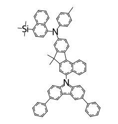 Cc1ccc(N(c2ccc3c(c2)C(C)(C)c2cc(-n4c5ccc(-c6ccccc6)cc5c5cc(-c6ccccc6)ccc54)c4ccccc4c2-3)c2ccc([Si](C)(C)C)c3ccccc23)cc1